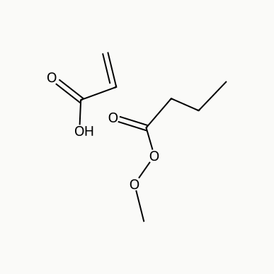 C=CC(=O)O.CCCC(=O)OOC